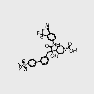 CN(C)S(=O)(=O)c1ccc(-c2cccc(CC(O)(C(=O)Nc3ccc(C#N)c(C(F)(F)F)c3)C3CCN(C(=O)O)CC3)c2)cc1